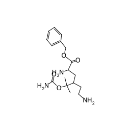 CC(C)(OC(N)=O)C(CCN)CC(N)C(=O)OCc1ccccc1